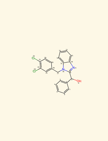 OC(c1ccccc1)c1nc2ccccc2n1Cc1ccc(Cl)c(Cl)c1